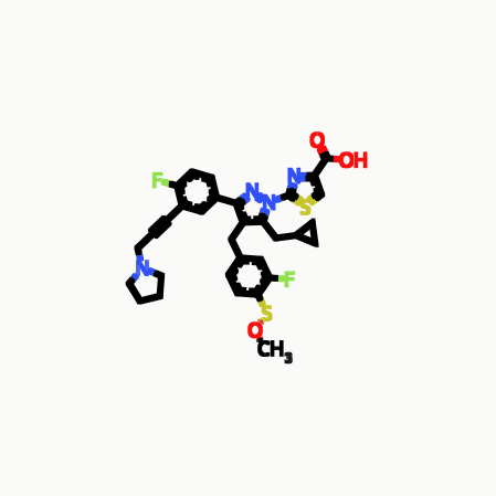 COSc1ccc(Cc2c(-c3ccc(F)c(C#CCN4CCCC4)c3)nn(-c3nc(C(=O)O)cs3)c2CC2CC2)cc1F